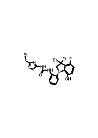 CCSc1nsc(NC(=O)Nc2ccccc2N2CC(CC)(CC)c3c(F)ccc(O)c32)n1